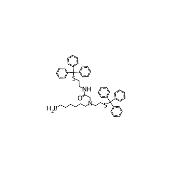 BCCCCCCN(CCSC(c1ccccc1)(c1ccccc1)c1ccccc1)CC(=O)NCCSC(c1ccccc1)(c1ccccc1)c1ccccc1